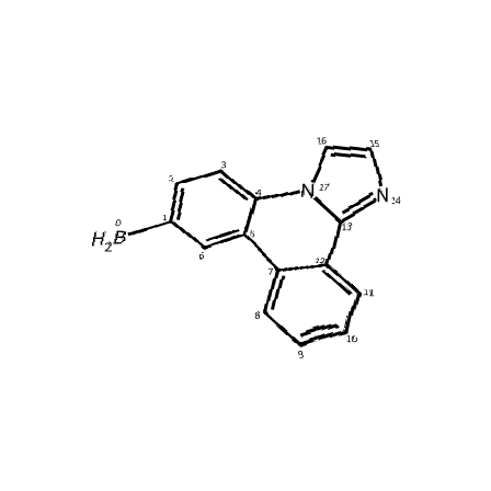 Bc1ccc2c(c1)c1ccccc1c1nccn21